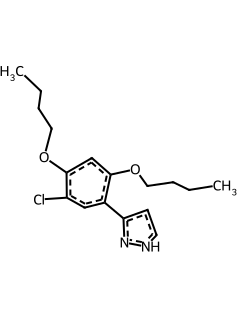 CCCCOc1cc(OCCCC)c(-c2cc[nH]n2)cc1Cl